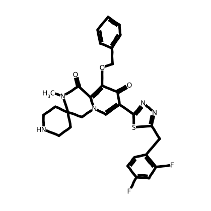 CN1C(=O)c2c(OCc3ccccc3)c(=O)c(-c3nnc(Cc4ccc(F)cc4F)s3)cn2CC12CCNCC2